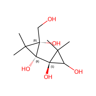 CC1(C)C(O)[C@]1(O)[C@@]1(O)C(C)(C)[C@@]1(O)CO